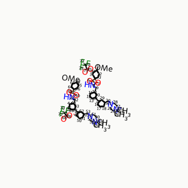 COc1ccc(S(=O)(=O)NCc2cccc(-c3cccc(CN4CC[N+](C)(C)CC4)c3)c2)cc1.COc1ccc(S(=O)(=O)NCc2cccc(-c3cccc(CN4CC[N+](C)(C)CC4)c3)c2)cc1.O=C([O-])C(F)(F)F.O=C([O-])C(F)(F)F